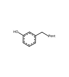 CCCC(C)Cc1cccc(O)c1